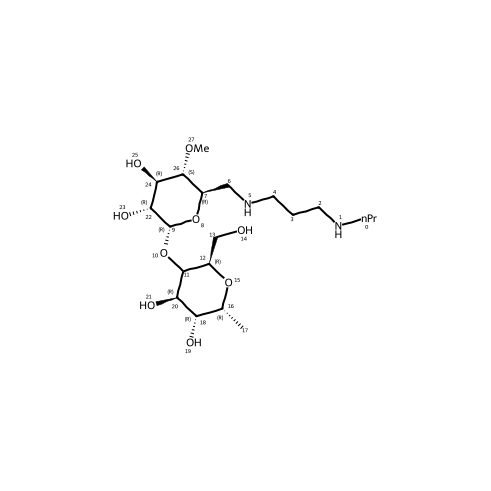 CCCNCCCNC[C@H]1O[C@H](OC2[C@@H](CO)O[C@H](C)[C@H](O)[C@H]2O)[C@H](O)[C@@H](O)[C@@H]1OC